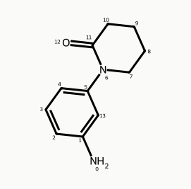 Nc1cccc(N2CCCCC2=O)c1